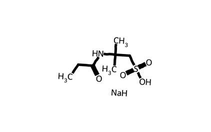 CCC(=O)NC(C)(C)CS(=O)(=O)O.[NaH]